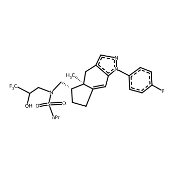 CCCS(=O)(=O)N(CC(O)C(F)(F)F)C[C@H]1CCC2=Cc3c(cnn3-c3ccc(F)cc3)C[C@@]21C